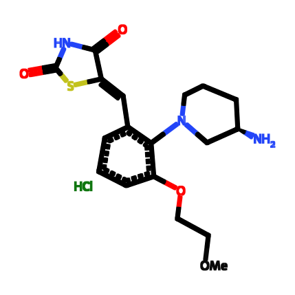 COCCOc1cccc(/C=C2\SC(=O)NC2=O)c1N1CCC[C@@H](N)C1.Cl